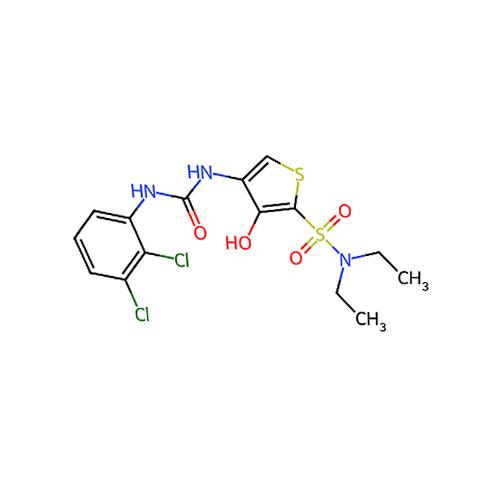 CCN(CC)S(=O)(=O)c1scc(NC(=O)Nc2cccc(Cl)c2Cl)c1O